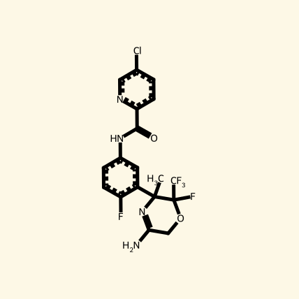 CC1(c2cc(NC(=O)c3ccc(Cl)cn3)ccc2F)N=C(N)COC1(F)C(F)(F)F